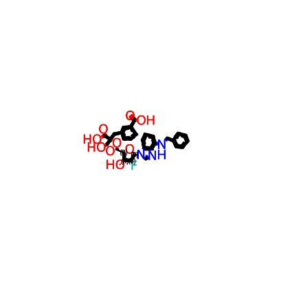 O=C(O)c1cccc(CC(OC[C@H]2O[C@@H](n3cnc4c(NCc5ccccc5)cccc43)[C@@H](F)[C@@H]2O)(C(=O)O)C(=O)O)c1